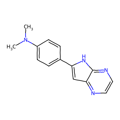 CN(C)c1ccc(-c2cc3nccnc3[nH]2)cc1